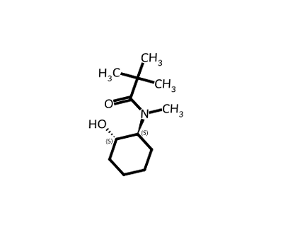 CN(C(=O)C(C)(C)C)[C@H]1CCCC[C@@H]1O